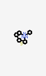 c1ccc(-c2ccc3sc4cccc(-c5nc(-c6ccccc6)nc(-c6ccccc6)n5)c4c3c2)cc1